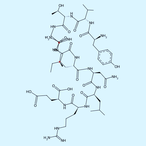 CC[C@H](C)[C@H](NC(=O)[C@H](C)NC(=O)[C@@H](NC(=O)[C@@H](NC(=O)[C@@H](N)Cc1ccc(O)cc1)C(C)C)[C@@H](C)O)C(=O)N[C@@H](CCCNC(=N)N)C(=O)N[C@@H](CC(N)=O)C(=O)N[C@@H](CC(C)C)C(=O)N[C@@H](CCCNC(=N)N)C(=O)N[C@@H](CCC(=O)O)C(=O)O